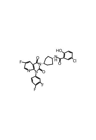 O=C(N[C@H]1CC[C@@H](n2c(=O)c3cc(F)cnc3n(-c3ccc(F)c(F)c3)c2=O)CC1)c1cc(Cl)ccc1O